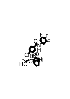 C[C@H](O)COC[C@@]1(O)C2CC[C@H]1C[C@H](S(=O)(=O)c1cc(C(=O)Nc3cc(F)c(F)c(F)c3)ccc1Cl)C2